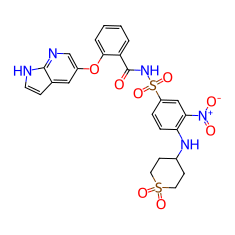 O=C(NS(=O)(=O)c1ccc(NC2CCS(=O)(=O)CC2)c([N+](=O)[O-])c1)c1ccccc1Oc1cnc2[nH]ccc2c1